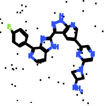 NC1CN(c2cncc(-c3cnc4[nH]nc(-c5nc6c(-c7ccc(F)cc7)nccc6[nH]5)c4c3)n2)C1